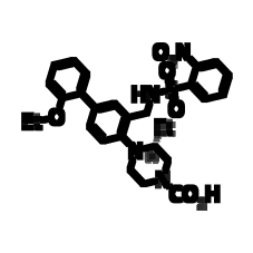 CCOc1ccccc1-c1ccc(N2CCN(C(=O)O)C[C@H]2CC)c(CNS(=O)(=O)c2ccccc2[N+](=O)[O-])c1